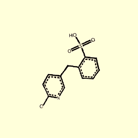 O=S(=O)(O)c1ccccc1Cc1ccc(Cl)nc1